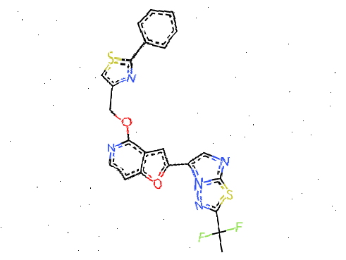 CC(F)(F)c1nn2c(-c3cc4c(OCc5csc(-c6ccccc6)n5)nccc4o3)cnc2s1